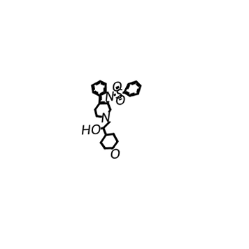 O=C1CCC(C(O)CN2CCc3c(n(S(=O)(=O)c4ccccc4)c4ccccc34)C2)CC1